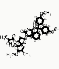 C=C[C@@]1(CC(C)C(=O)OC)O[C@@H](n2ccc(NC(c3ccccc3)(c3ccc(OC)cc3)c3ccc(OC)cc3)nc2=O)C[C@@H]1OC(=O)C(C)C